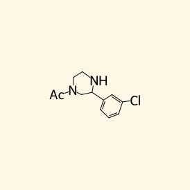 CC(=O)N1CCNC(c2cccc(Cl)c2)C1